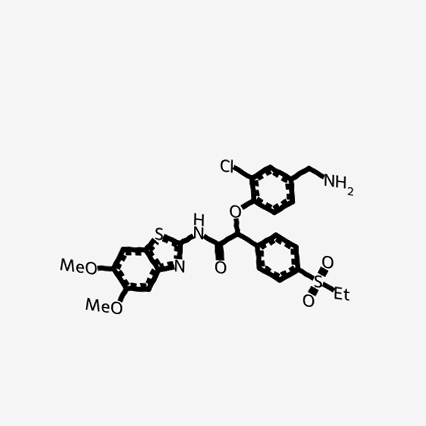 CCS(=O)(=O)c1ccc(C(Oc2ccc(CN)cc2Cl)C(=O)Nc2nc3cc(OC)c(OC)cc3s2)cc1